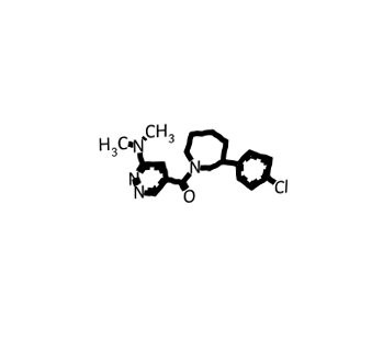 CN(C)c1cc(C(=O)N2CCCCC(c3ccc(Cl)cc3)C2)cnn1